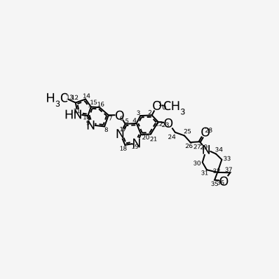 COc1cc2c(Oc3cnc4[nH]c(C)cc4c3)ncnc2cc1OCCCC(=O)N1CCC2(CC1)COC2